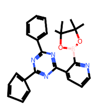 CC1(C)OB(c2ncccc2-c2nc(-c3ccccc3)nc(-c3ccccc3)n2)OC1(C)C